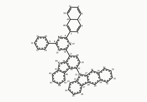 C1=CC2C=CC(c3nc(-c4ccccc4)nc(-c4ccc(-n5c6ccccc6c6cc7ccccc7cc65)c5c4sc4ccccc45)n3)=CC2C=C1